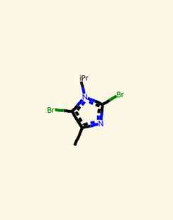 Cc1nc(Br)n(C(C)C)c1Br